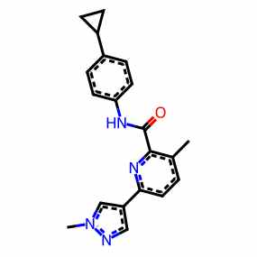 Cc1ccc(-c2cnn(C)c2)nc1C(=O)Nc1ccc(C2CC2)cc1